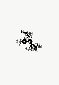 CC1(C)CC=C(c2nc(C3CC(C)(C)O[C@@](C)(C(=O)O)C3)ccc2NC(=O)c2nc(C#N)c[nH]2)CC1